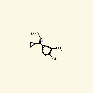 CO/N=C(/c1ccc(O)c(C)c1)C1CC1